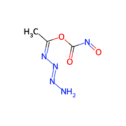 CC(=NN=NN)OC(=O)N=O